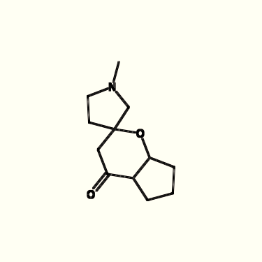 CN1CCC2(CC(=O)C3CCCC3O2)C1